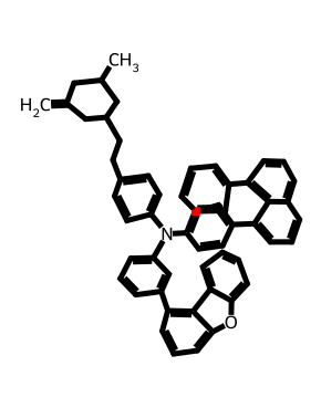 C=C1CC(C)CC(CCc2ccc(N(c3ccc(-c4cccc5cccc(-c6ccccc6)c45)cc3)c3cccc(-c4cccc5oc6ccccc6c45)c3)cc2)C1